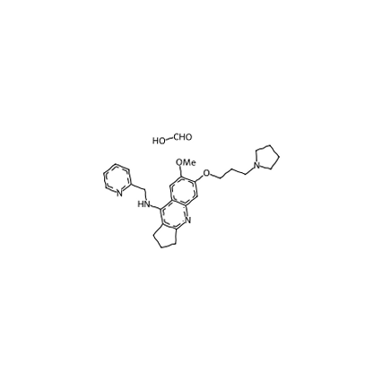 COc1cc2c(NCc3ccccn3)c3c(nc2cc1OCCCN1CCCC1)CCC3.O=CO